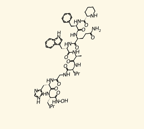 CC(C)C[C@H](NC(=O)[C@H](Cc1c[nH]cn1)NC(=O)CNC(=O)[C@@H](NC(=O)[C@H](C)NC(=O)[C@H](Cc1c[nH]c2ccccc12)NC(=O)[C@H](CCC(N)=O)NC(=O)[C@@H](Cc1ccccc1)NC(=O)[C@@H]1CCCCN1)C(C)C)C(=O)NO